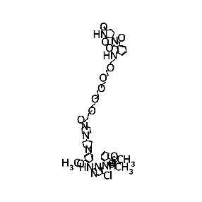 COc1cc(N2CCC(N3CCN(C(=O)CCOCCOCCOCCOCCOCCNc4cccc5c4C(=O)N(C4CCC(=O)NC4=O)C5=O)CC3)CC2)ccc1Nc1ncc(Cl)c(Nc2ccccc2S(=O)(=O)C(C)C)n1